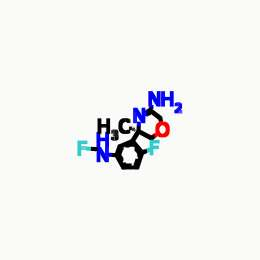 C[C@@]1(c2cc(NCF)ccc2F)COCC(N)=N1